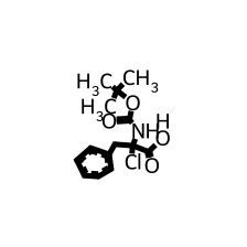 CC(C)(C)OC(=O)NC(Cl)(Cc1ccccc1)C(=O)O